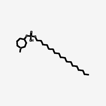 CCCCCCCCCCCCCCCCCCOP(=O)(O)OC1CCCN(C)CC1